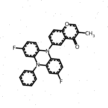 Cc1coc2ccc(N3c4ccc(F)cc4N(c4ccccc4)c4cc(F)ccc43)cc2c1=O